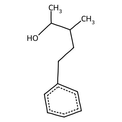 CC(O)C(C)CCc1ccccc1